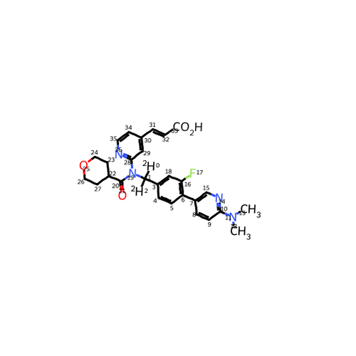 [2H]C([2H])(c1ccc(-c2ccc(N(C)C)nc2)c(F)c1)N(C(=O)C1CCOCC1)c1cc(C=CC(=O)O)ccn1